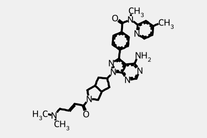 Cc1ccnc(N(C)C(=O)c2ccc(-c3nn(C4CC5CN(C(=O)C=CCN(C)C)CC5C4)c4ncnc(N)c34)cc2)c1